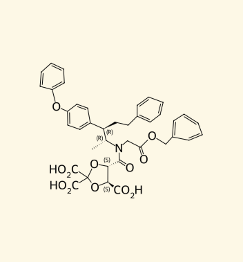 C[C@H]([C@H](CCc1ccccc1)c1ccc(Oc2ccccc2)cc1)N(CC(=O)OCc1ccccc1)C(=O)[C@H]1OC(C(=O)O)(C(=O)O)O[C@@H]1C(=O)O